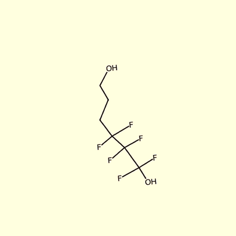 OCCCC(F)(F)C(F)(F)C(O)(F)F